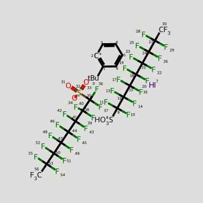 CC(C)(C)C1=[C+]C=CC=C1.I.O=S(=O)(O)C(F)(F)C(F)(F)C(F)(F)C(F)(F)C(F)(F)C(F)(F)C(F)(F)C(F)(F)F.O=S(=O)([O-])C(F)(F)C(F)(F)C(F)(F)C(F)(F)C(F)(F)C(F)(F)C(F)(F)C(F)(F)F